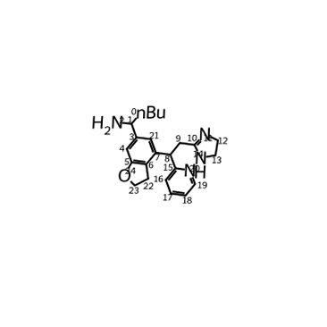 CCCCC(N)c1cc2c(c(C(CC3=NCCN3)c3ccccn3)c1)CCO2